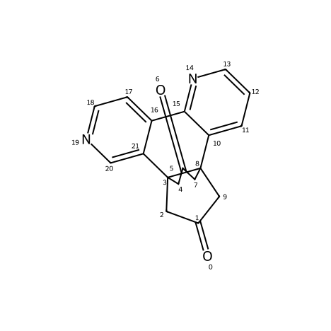 O=C1CC23CC(=O)CC2(C1)c1cccnc1-c1ccncc13